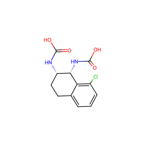 O=C(O)N[C@H]1CCc2cccc(Cl)c2[C@H]1NC(=O)O